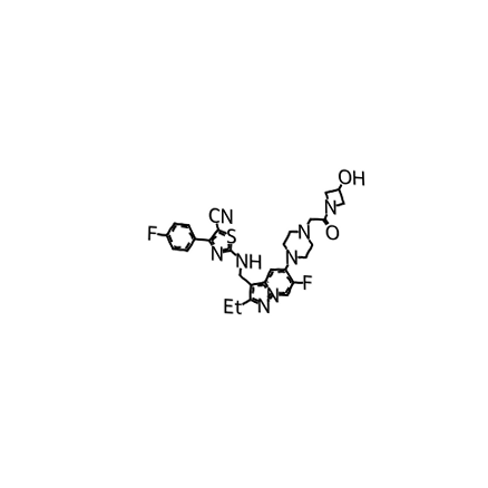 CCc1nn2cc(F)c(N3CCN(CC(=O)N4CC(O)C4)CC3)cc2c1CNc1nc(-c2ccc(F)cc2)c(C#N)s1